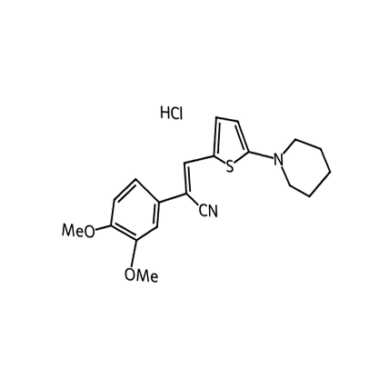 COc1ccc(C(C#N)=Cc2ccc(N3CCCCC3)s2)cc1OC.Cl